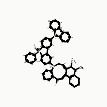 CC1C2=C(C=CCC2)C2=C/C(I)c3ccccc3N(c3ccc4c(c3)-c3cc(-n5c6ccccc6c6ccccc65)ccc3P4(=O)c3ccccc3)C/C=C\2C1C